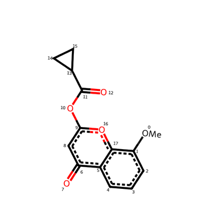 COc1cccc2c(=O)cc(OC(=O)C3CC3)oc12